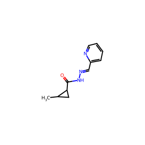 CC1CC1C(=O)NN=Cc1ccccn1